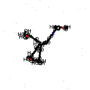 COP(=O)(O)OCCCC1CCCC2C(CCC/C=C/COCCOCCC(=O)N3CCC(C(=O)NC(COCCC(=O)NCCCCCCOC4OC(CO)C(O)C(O)C4NC(C)=O)(COCCC(=O)NCCCCCCOC4OC(CO)C(O)C(O)C4NC(C)=O)COCCC(=O)NCCCCCCOC4OC(CO)C(O)C(O)C4NC(C)=O)CC3)=NNC(C)=C2CC1